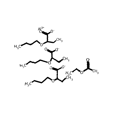 CCCCOC(CC)C(=O)[O-].CCCCOC(CC)C(=O)[O-].CCCCOC(CC)C(=O)[O-].CCOC(C)=O.[Al+3]